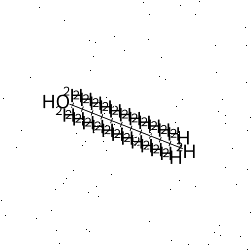 [2H]C([2H])([2H])C([2H])([2H])C([2H])([2H])C([2H])([2H])C([2H])([2H])C([2H])([2H])C([2H])([2H])C([2H])([2H])C([2H])([2H])C([2H])([2H])C([2H])([2H])C([2H])([2H])O